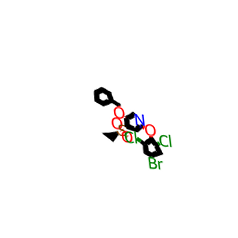 O=S(=O)(c1cc(Oc2c(Cl)cc(Br)cc2Cl)ncc1OCc1ccccc1)C1CC1